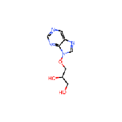 OCC(O)COn1cnc2cncnc21